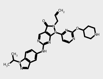 C=CCn1c(=O)c2cnc(Nc3ccc4c(cnn4C(C)C)c3)nc2n1-c1ccnc(OC2CCNCC2)n1